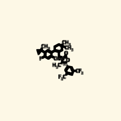 COc1cc(F)c(C2(C)CC2)cc1C1=C(CN2C(=O)O[C@H](c3cc(C(F)(F)F)cc(C(F)(F)F)c3)[C@@H]2C)CC(C)(C)CC1